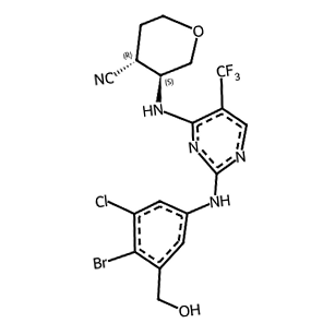 N#C[C@@H]1CCOC[C@H]1Nc1nc(Nc2cc(Cl)c(Br)c(CO)c2)ncc1C(F)(F)F